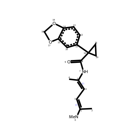 CN/C(C)=C/C=C(\C)NC(=O)C1(c2ccc3c(c2)OCO3)CC1